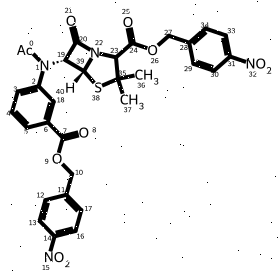 CC(=O)N(c1cccc(C(=O)OCc2ccc([N+](=O)[O-])cc2)c1)[C@@H]1C(=O)N2C(C(=O)OCc3ccc([N+](=O)[O-])cc3)C(C)(C)S[C@H]12